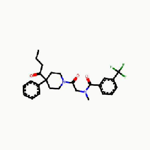 CCCC(=O)C1(c2ccccc2)CCN(C(=O)CN(C)C(=O)c2cccc(C(F)(F)F)c2)CC1